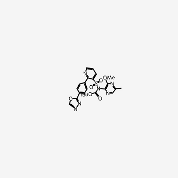 COc1nc(C)cnc1N(C(=O)OCC(C)C)S(=O)(=O)c1cccnc1-c1ccc(-c2nnco2)cc1